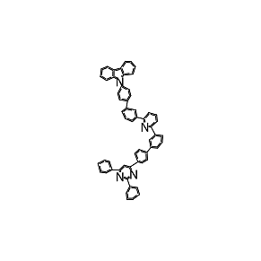 c1ccc(-c2cc(-c3ccc(-c4cccc(-c5cccc(-c6cccc(-c7ccc(-n8c9ccccc9c9ccccc98)cc7)c6)n5)c4)cc3)nc(-c3ccccc3)n2)cc1